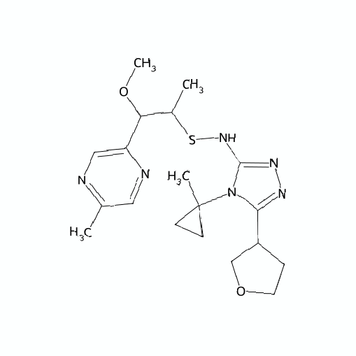 COC(c1cnc(C)cn1)C(C)SNc1nnc(C2CCOC2)n1C1(C)CC1